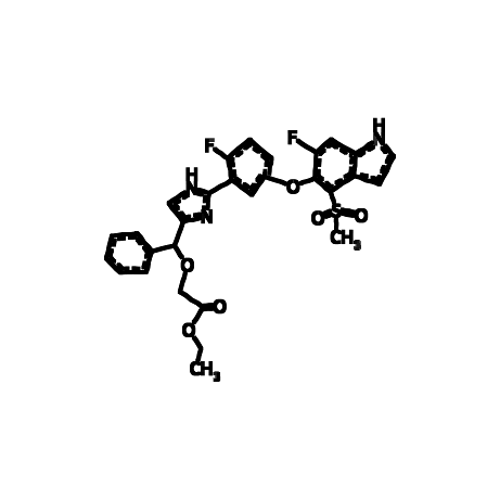 CCOC(=O)COC(c1ccccc1)c1c[nH]c(-c2cc(Oc3c(F)cc4[nH]ccc4c3S(C)(=O)=O)ccc2F)n1